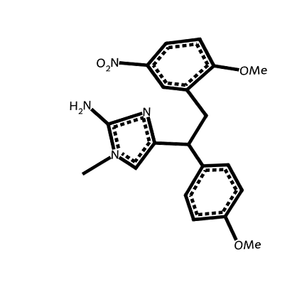 COc1ccc(C(Cc2cc([N+](=O)[O-])ccc2OC)c2cn(C)c(N)n2)cc1